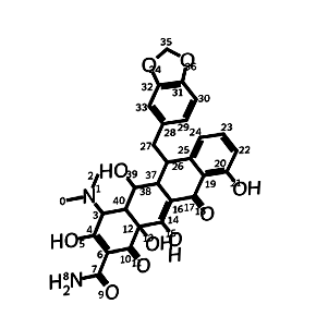 CN(C)C1C(O)=C(C(N)=O)C(=O)C2(O)C(O)=C3C(=O)c4c(O)cccc4C(Cc4ccc5c(c4)OCO5)C3C(O)C12